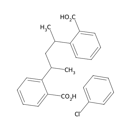 CC(CC(C)c1ccccc1C(=O)O)c1ccccc1C(=O)O.Clc1ccccc1